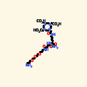 NCCCOCCOCCOCCCNC(=O)CCC(=O)N[C@@H](CCCCNC(=O)CN1CCN(CC(=O)O)CCN(CC(=O)O)CCN(CC(=O)O)CC1)C(N)=O